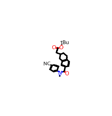 CN(C(=O)c1ccc2c(c1)CC(CC(=O)OC(C)(C)C)CC2)c1ccc(C#N)cc1